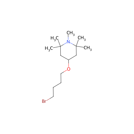 CN1C(C)(C)CC(OCCCCBr)CC1(C)C